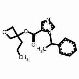 CCCC1(OC(=O)c2cncn2C(C)c2ccccc2)COC1